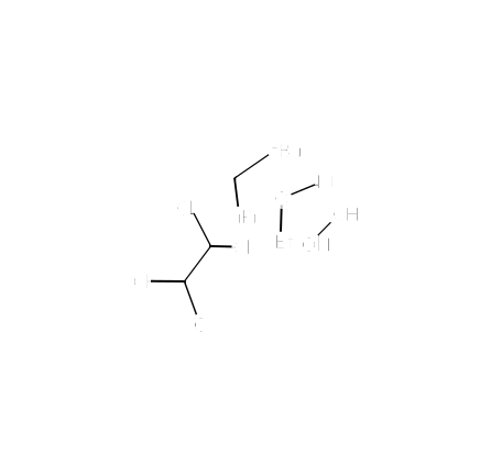 CC(C)CC(C)(C)C.CCOCC.CO.ClC(Cl)C(Cl)Cl